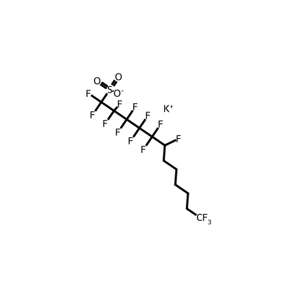 O=S(=O)([O-])C(F)(F)C(F)(F)C(F)(F)C(F)(F)C(F)(F)C(F)CCCCCC(F)(F)F.[K+]